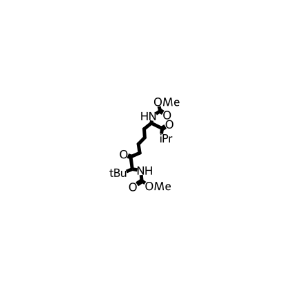 COC(=O)NC(CCCCC(=O)C(NC(=O)OC)C(C)(C)C)C(=O)C(C)C